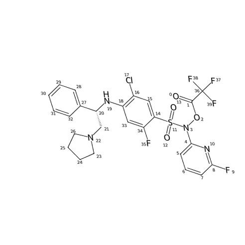 O=C(ON(c1cccc(F)n1)S(=O)(=O)c1cc(Cl)c(N[C@H](CN2CCCC2)c2ccccc2)cc1F)C(F)(F)F